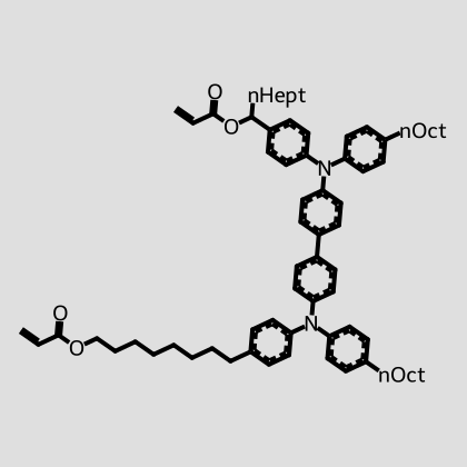 C=CC(=O)OCCCCCCCCc1ccc(N(c2ccc(CCCCCCCC)cc2)c2ccc(-c3ccc(N(c4ccc(CCCCCCCC)cc4)c4ccc(C(CCCCCCC)OC(=O)C=C)cc4)cc3)cc2)cc1